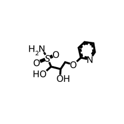 NS(=O)(=O)C(O)C(O)COc1ccccn1